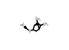 C#COC1CC2CC1C(C)C2C